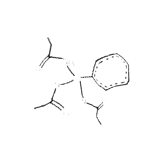 CC(=O)N[Si](NC(C)=O)(NC(C)=O)c1ccccc1